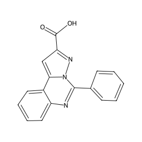 O=C(O)c1cc2c3ccccc3nc(-c3ccccc3)n2n1